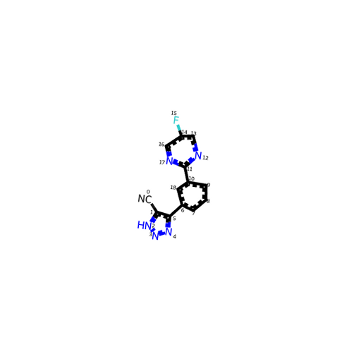 N#Cc1[nH]nnc1-c1cccc(-c2ncc(F)cn2)c1